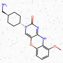 COc1cccc2c1Nc1nc(=O)n([C@H]3CC[C@H](CN)CC3)cc1O2